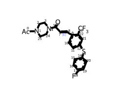 CC(=O)N1CCN(C(=O)/C=C/c2ccc(Sc3ccc(F)cc3)cc2C(F)(F)F)CC1